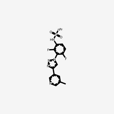 CCCS(=O)(=O)Nc1ccc(F)c(-n2cc(-c3cncc(C)c3)nn2)c1F